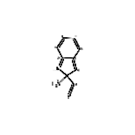 NC1([C]=O)C=c2ccccc2=N1